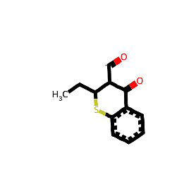 CCC1Sc2ccccc2C(=O)C1[C]=O